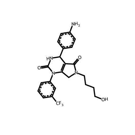 Nc1ccc(C2NC(=O)N(c3cccc(C(F)(F)F)c3)C3=C2C(=O)N(CCCCO)C3)cc1